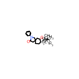 CC(C)(C)[Si](C)(C)OC1CCCC2(CC(=O)N(c3ccccc3)C2)C1